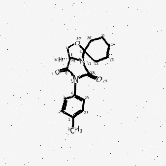 Cc1ccc(N2C(=O)[C@H]3COC4(CCCCC4)N3C2=O)cc1